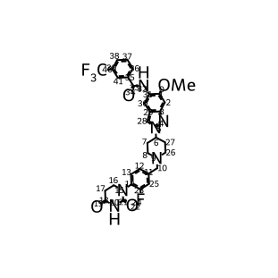 COc1cc2nn(C3CCN(Cc4ccc(N5CCC(=O)NC5=O)c(F)c4)CC3)cc2cc1NC(=O)c1cccc(C(F)(F)F)c1